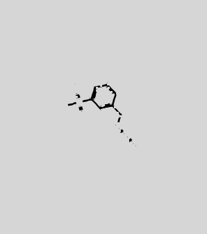 CS(=O)(=O)c1cccc(CN=[N+]=[N-])c1